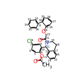 CC(=O)Oc1ccc(Cl)cc1C1c2ccccc2CCN1C(=O)COc1ccccc1-c1ccccc1